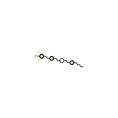 CCCCCc1ccc(CCC2CCC(CCc3ccc(CCc4cc(F)c(Cl)c(F)c4)c(F)c3)CC2)cc1